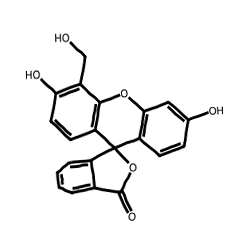 O=C1OC2(c3ccc(O)cc3Oc3c2ccc(O)c3CO)c2ccccc21